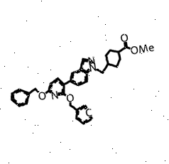 COC(=O)C1CCC(Cn2ncc3cc(-c4ccc(OCc5ccccc5)nc4OCc4ccccc4)ccc32)CC1